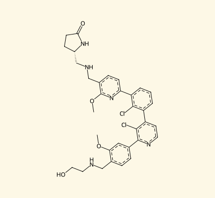 COc1cc(-c2nccc(-c3cccc(-c4ccc(CNC[C@@H]5CCC(=O)N5)c(OC)n4)c3Cl)c2Cl)ccc1CNCCO